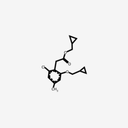 Cc1cc(Cl)c(CC(=O)OCC2CC2)c(OCC2CC2)c1